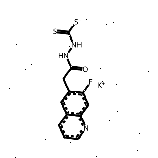 O=C(Cc1cc2cccnc2cc1F)NNC(=S)[S-].[K+]